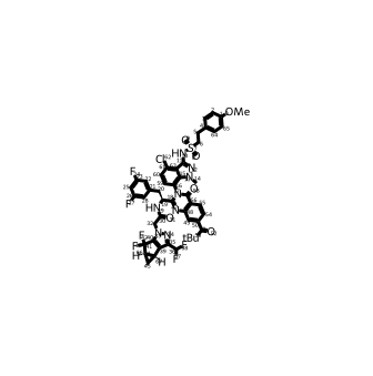 COc1ccc(CCS(=O)(=O)Nc2nn(C)c3c(-n4c([C@H](Cc5cc(F)cc(F)c5)NC(=O)Cn5nc(C(F)F)c6c5C(F)(F)[C@@H]5C[C@H]65)nc5cc(C(=O)C(C)(C)C)ccc5c4=O)ccc(Cl)c23)cc1